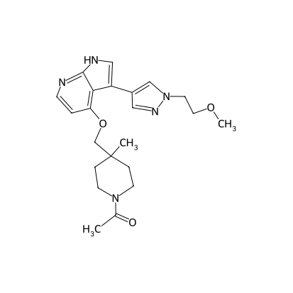 COCCn1cc(-c2c[nH]c3nccc(OCC4(C)CCN(C(C)=O)CC4)c23)cn1